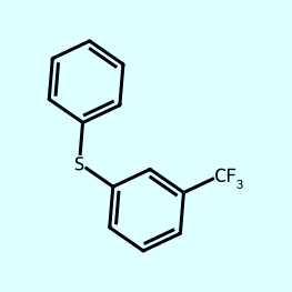 FC(F)(F)c1cccc(Sc2ccccc2)c1